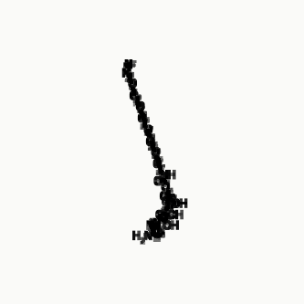 [N-]=[N+]=NCCOCCOCCOCCOCCOCCOCCOCCOCCNC(=O)COCC(=O)OP(=O)(O)OC[C@H]1O[C@@H](n2cnc3c(N)ccnc32)[C@@H](O)C1O